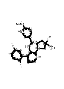 COc1ncc(C(=O)Nc2c(-c3cc(F)ccc3F)ccnc2N2CCC(F)(P)C2)cn1